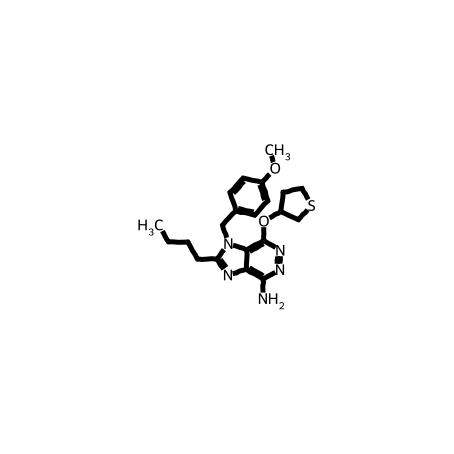 CCCCc1nc2c(N)nnc(OC3CCSC3)c2n1Cc1ccc(OC)cc1